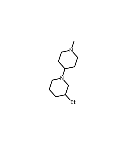 CCC1CCCN(C2CCN(C)CC2)C1